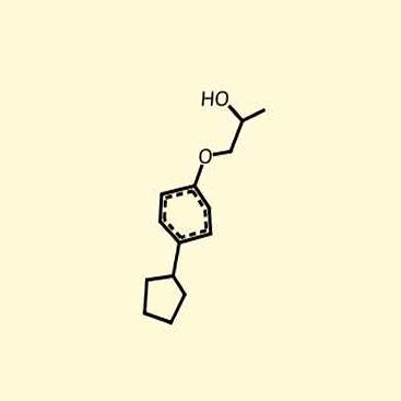 CC(O)COc1ccc(C2CCCC2)cc1